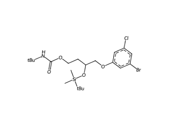 CC(C)(C)NC(=O)OCCC(COc1cc(Cl)cc(Br)c1)O[Si](C)(C)C(C)(C)C